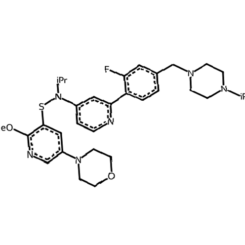 COc1ncc(N2CCOCC2)cc1SN(c1ccnc(-c2ccc(CN3CCN(C(C)C)CC3)cc2F)c1)C(C)C